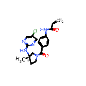 C=CC(=O)Nc1ccc(C(=O)N2CC[C@](C)(Nc3ncc(Cl)cn3)C2)cc1